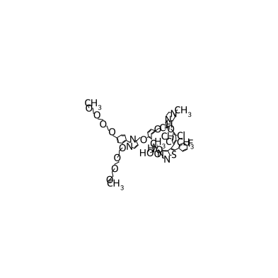 COCCOCCOCCOCc1ccc(-c2nccc(COc3ccc4cc3C[C@H](C(=O)O)Oc3ncnc5sc(-c6ccc(F)cc6)c(c35)-c3c(C)c(Cl)c(c(Cl)c3C)O[C@H](CN3CCN(C)CC3)CO4)n2)c(OCCOCCOCCOC)c1